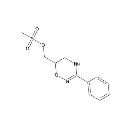 CS(=O)(=O)OCC1CNC(c2ccccc2)=NO1